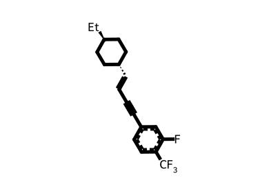 CC[C@H]1CC[C@H](/C=C/C#Cc2ccc(C(F)(F)F)c(F)c2)CC1